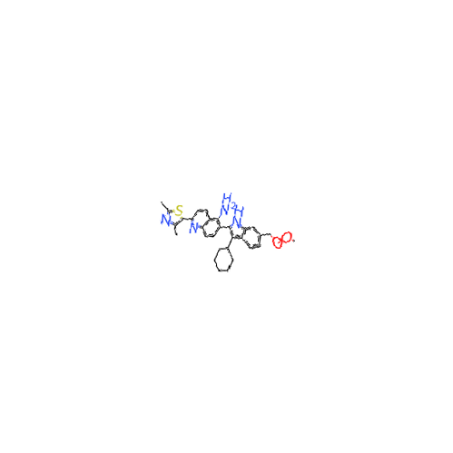 COOCc1ccc2c(C3CCCCC3)c(-c3ccc4nc(-c5sc(C)nc5C)ccc4c3N)[nH]c2c1